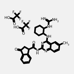 Cc1ccc2nc(NC(=O)C3CC(=O)c4ccccc43)nc(NC3CCCCC3NC(=N)N)c2c1.O=C(O)C(F)(F)F.O=C(O)C(F)(F)F